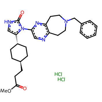 COC(=O)CC[C@H]1CC[C@H](c2c[nH]c(=O)n2-c2cnc3c(n2)CCN(Cc2ccccc2)CC3)CC1.Cl.Cl